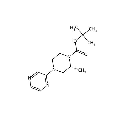 C[C@@H]1CN(c2cnccn2)CCN1C(=O)OC(C)(C)C